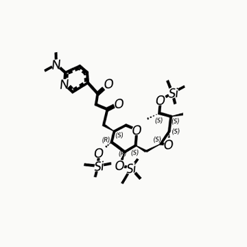 C[C@@H]([C@@H]1O[C@H]1C[C@@H]1OC[C@H](CC(=O)CC(=O)c2ccc(N(C)C)nc2)[C@@H](O[Si](C)(C)C)[C@@H]1O[Si](C)(C)C)[C@H](C)O[Si](C)(C)C